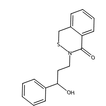 O=C1c2ccccc2CSN1CCC(O)c1ccccc1